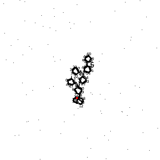 c1ccc(N(c2ccc(C34CC5CC(CC(C5)C3)C4)cc2)c2cccc(N(c3ccccc3)c3ccc4sc5ccccc5c4c3)c2)cc1